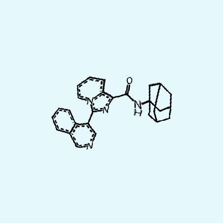 O=C(NC12CC3CC(CC(C3)C1)C2)c1nc(-c2cncc3ccccc23)n2ccccc12